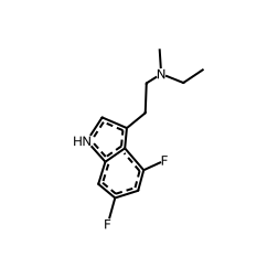 CCN(C)CCc1c[nH]c2cc(F)cc(F)c12